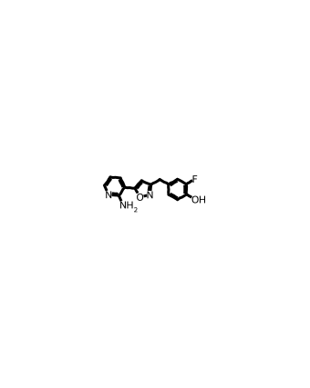 Nc1ncccc1-c1cc(Cc2ccc(O)c(F)c2)no1